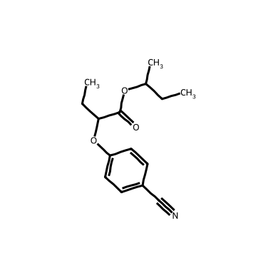 CCC(C)OC(=O)C(CC)Oc1ccc(C#N)cc1